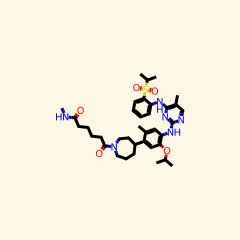 CNC(=O)CCCCC(=O)N1CCCC(c2cc(OC(C)C)c(Nc3ncc(C)c(Nc4ccccc4S(=O)(=O)C(C)C)n3)cc2C)CC1